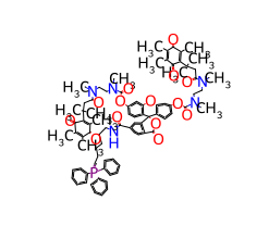 CC1=C(C)C(=O)C(C(C)(C)CC(=O)N(C)CCN(C)C(=O)Oc2ccc3c(c2)Oc2cc(OC(=O)N(C)CCN(C)C(=O)CC(C)(C)C4=C(C)C(=O)C(C)=C(C)C4=O)ccc2C32OC(=O)c3ccc(C(=O)NCCCCCC=P(c4ccccc4)(c4ccccc4)c4ccccc4)cc32)=C(C)C1=O